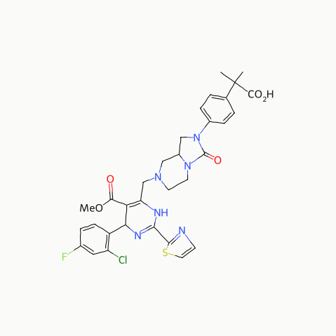 COC(=O)C1=C(CN2CCN3C(=O)N(c4ccc(C(C)(C)C(=O)O)cc4)CC3C2)NC(c2nccs2)=NC1c1ccc(F)cc1Cl